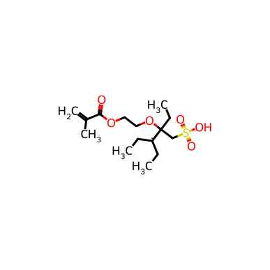 C=C(C)C(=O)OCCOC(CC)(CS(=O)(=O)O)[C](CC)CC